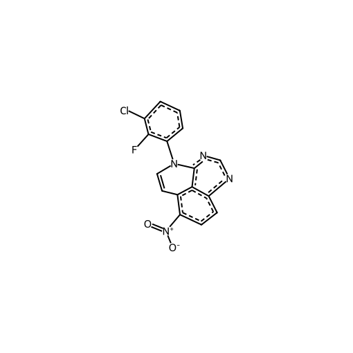 O=[N+]([O-])c1ccc2ncnc3c2c1C=CN3c1cccc(Cl)c1F